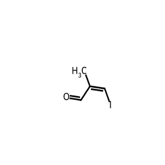 C/C(C=O)=C/I